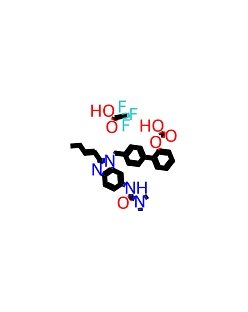 CC/C=C/c1nc2ccc(NC(=O)N(C)C)cc2n1Cc1ccc(-c2ccccc2OC(=O)O)cc1.O=C(O)C(F)(F)F